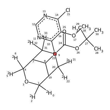 [2H]C1([2H])OC([2H])([2H])C2C(Oc3ncnc(Cl)c3OC)C1C([2H])([2H])N(C(=O)OC(C)(C)C)C2([2H])[2H]